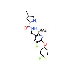 COc1nc(OC2CCC(F)(F)CC2)c(F)cc1CNC(=O)[C@@H]1C[C@@H](C)CN1C